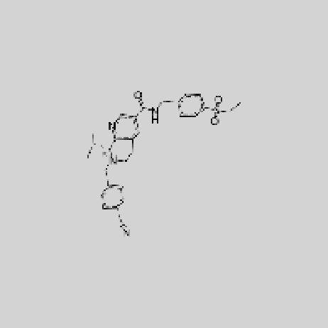 CCS(=O)(=O)c1ccc(CNC(=O)c2cnc3c(c2)CCN(Cc2ccc(C#N)cc2)[C@@H]3C(C)C)cc1